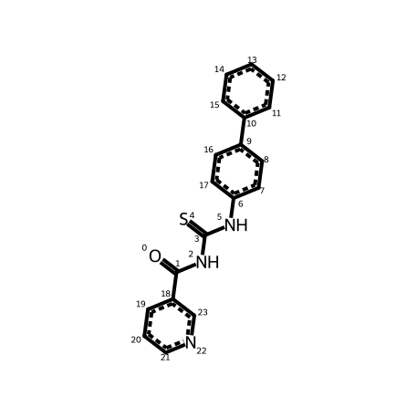 O=C(NC(=S)Nc1ccc(-c2ccccc2)cc1)c1cccnc1